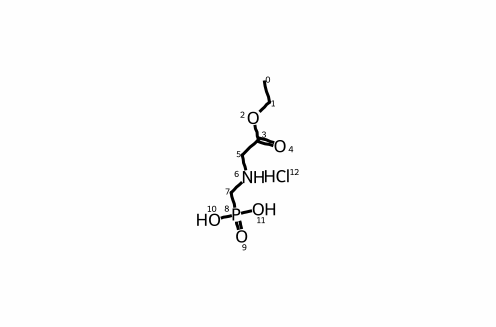 CCOC(=O)CNCP(=O)(O)O.Cl